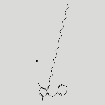 CCCCCCCCCCCCCCCCCC[n+]1c(C)cc(C)n1Cc1ccccc1.[Br-]